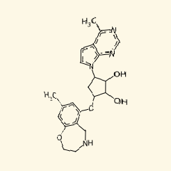 Cc1cc2c(c(OC3CC(n4ccc5c(C)ncnc54)C(O)C3O)c1)CNCCO2